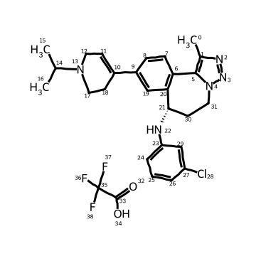 Cc1nnn2c1-c1ccc(C3=CCN(C(C)C)CC3)cc1[C@@H](Nc1cccc(Cl)c1)CC2.O=C(O)C(F)(F)F